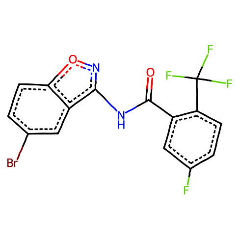 O=C(Nc1noc2ccc(Br)cc12)c1cc(F)ccc1C(F)(F)F